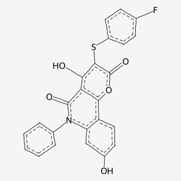 O=c1oc2c(c(O)c1Sc1ccc(F)cc1)c(=O)n(-c1ccccc1)c1cc(O)ccc21